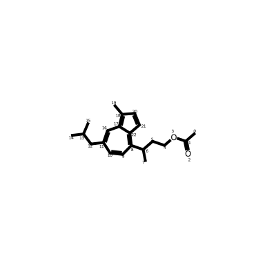 CC(=O)OCCC(C)c1ccc(CC(C)C)cc2c(C)ccc1-2